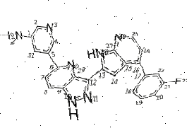 Nc1cncc(-c2ccc3[nH]nc(-c4cc5c(-c6cccc(F)c6)ccnc5[nH]4)c3n2)c1